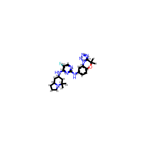 CC1(C)Oc2ccc(Nc3ncc(F)c(NC4CC5CCCN5C(C)(C)C4)n3)cc2-n2nnnc21